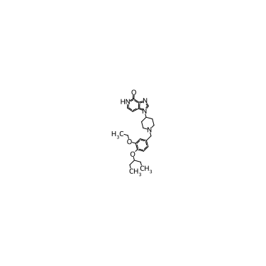 CCOc1cc(CN2CCC(n3cnc4c(=O)[nH]ccc43)CC2)ccc1OC(CC)CC